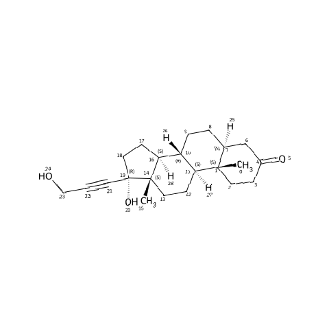 C[C@]12CCC(=O)C[C@@H]1CC[C@@H]1[C@@H]2CC[C@@]2(C)[C@H]1CC[C@]2(O)C#CCO